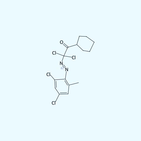 Cc1cc(Cl)cc(Cl)c1/N=N/C(Cl)(Cl)C(=O)C1CCCCC1